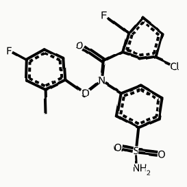 Cc1cc(F)ccc1ON(C(=O)c1cc(Cl)ccc1F)c1cccc(S(N)(=O)=O)c1